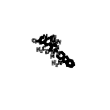 C=C(c1cc(Cl)cnc1C#N)c1n[nH]c2nc(N3CCC4(CC3)Cc3ccccc3[C@H]4N)[nH]c(=O)c12